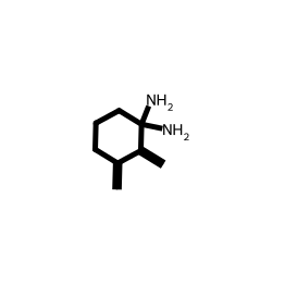 C=C1CCCC(N)(N)C1=C